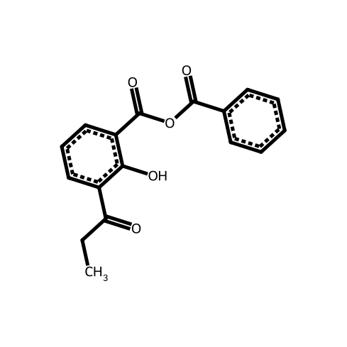 CCC(=O)c1cccc(C(=O)OC(=O)c2ccccc2)c1O